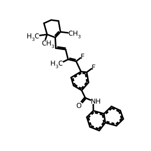 CC1=C(/C=C/C(C)=C(\F)c2ccc(C(=O)Nc3cccc4ccccc34)cc2F)C(C)(C)CCC1